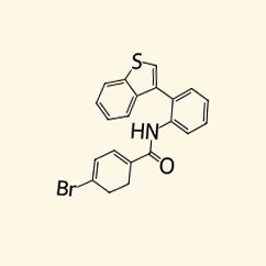 O=C(Nc1ccccc1-c1csc2ccccc12)C1=CC=C(Br)CC1